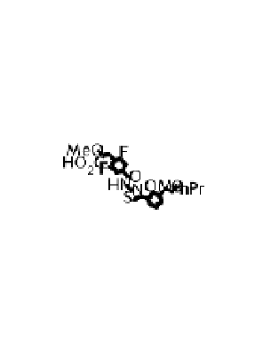 CCCOCCc1cccc(-c2csc(NC(=O)c3cc(F)c(/C=C(/OC)C(=O)O)c(F)c3)n2)c1OC